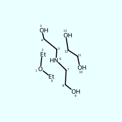 CCOCC.OCCNCCO.OCCO